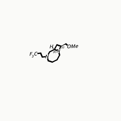 COC[C@@H]1C[C@@H]2CN(CCC(F)(F)F)CCCCN12